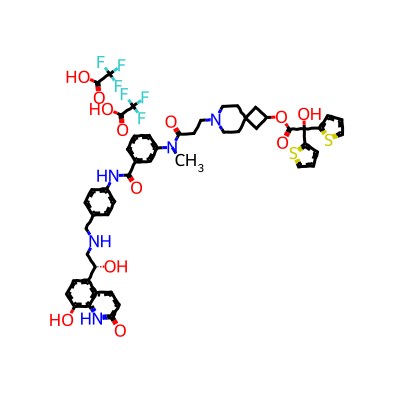 CN(C(=O)CCN1CCC2(CC1)CC(OC(=O)C(O)(c1cccs1)c1cccs1)C2)c1cccc(C(=O)Nc2ccc(CNC[C@H](O)c3ccc(O)c4[nH]c(=O)ccc34)cc2)c1.O=C(O)C(F)(F)F.O=C(O)C(F)(F)F